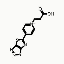 O=C(O)CC[n+]1ccc(-c2nc3snnc3s2)cc1